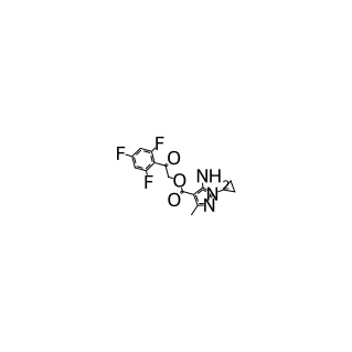 Cc1nn(C2CC2)c(N)c1C(=O)OCC(=O)c1c(F)cc(F)cc1F